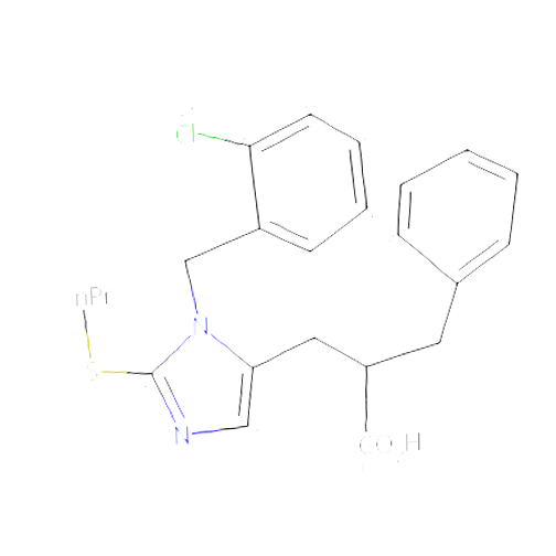 CCCSc1ncc(CC(Cc2ccccc2)C(=O)O)n1Cc1ccccc1Cl